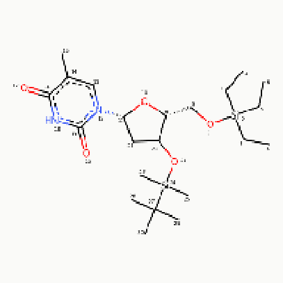 CC[Si](CC)(CC)OC[C@H]1O[C@@H](n2cc(C)c(=O)[nH]c2=O)CC1O[Si](C)(C)C(C)(C)C